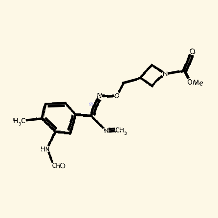 C=N/C(=N\OCC1CN(C(=O)OC)C1)c1ccc(C)c(NC=O)c1